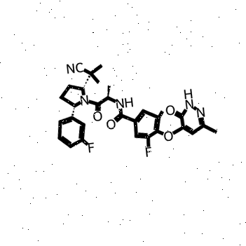 Cc1cc(Oc2c(C)cc(C(=O)N[C@H](C)C(=O)N3[C@H](c4cccc(F)c4)CC[C@@H]3C(C)(C)C#N)cc2F)c(=O)[nH]n1